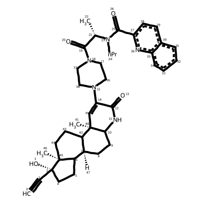 C#C[C@]1(O)CCC2[C@@H]3CCC4NC(=O)C(N5CCN(C(=O)[C@H](C)N(CCC)C(=O)c6ccc7ccccc7n6)CC5)=C[C@]4(C)C3CC[C@@]21C